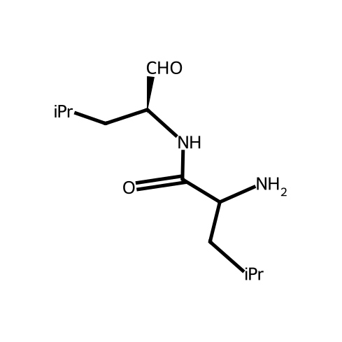 CC(C)CC(N)C(=O)N[C@H](C=O)CC(C)C